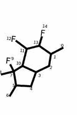 CC1CC2CC(C)C(C)(F)C2C(F)C1F